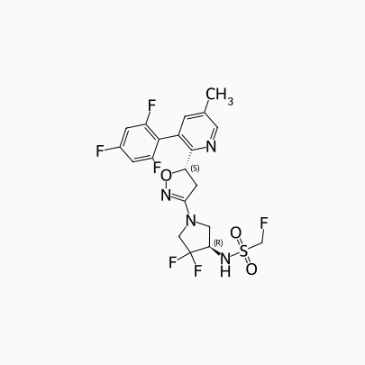 Cc1cnc([C@@H]2CC(N3C[C@@H](NS(=O)(=O)CF)C(F)(F)C3)=NO2)c(-c2c(F)cc(F)cc2F)c1